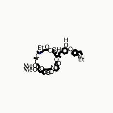 CCC1/C=C(\C)CC(C)CC(OC)C2OC(O)(C(=O)C(=O)N3CCCCC3C(=O)OC(C(C)=CC3CCC(Oc4ccc5c(ccn5CC)c4)C(O)C3)C(C)C(O)CC1=O)C(C)CC2OC